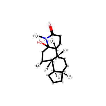 CC1CC2(O)N(C)C(=O)CC[C@]2(C)[C@@H]2CC[C@]3(C)CCC[C@H]3[C@H]12